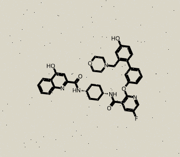 O=C(N[C@H]1CC[C@@H](NC(=O)c2cc(F)cnc2Oc2cccc(-c3ccc(O)cc3CN3CCOCC3)c2)CC1)c1cc(O)c2ccccc2n1